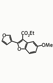 CCOC(=O)c1c(-c2ccoc2)oc2ccc(OC)cc12